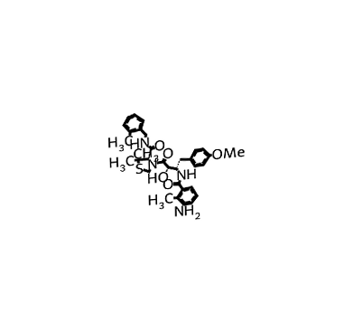 COc1ccc(C[C@H](NC(=O)c2cccc(N)c2C)[C@H](O)C(=O)N2CSC(C)(C)[C@H]2C(=O)NCc2ccccc2C)cc1